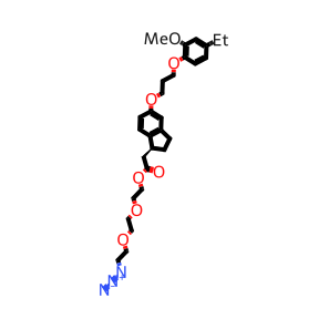 CCc1ccc(OCCCOc2ccc3c(c2)CC[C@H]3CC(=O)OCCOCCOCCN=[N+]=[N-])c(OC)c1